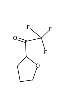 O=C(C1CCCO1)C(F)(F)F